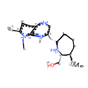 CO[C@@H]1CCC[C@@H](c2cnc3cc(C(C)(C)C)n(C)c3n2)N[C@H]1CO